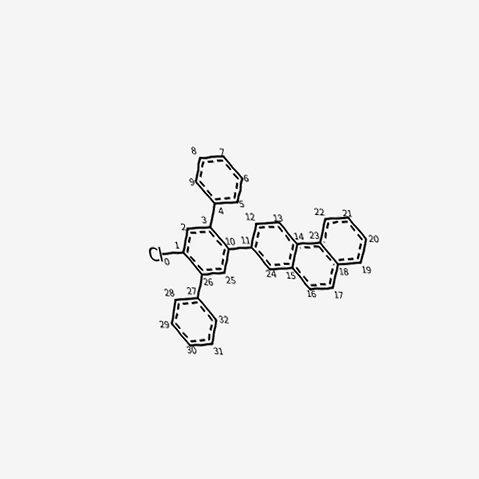 Clc1cc(-c2ccccc2)c(-c2ccc3c(ccc4ccccc43)c2)cc1-c1ccccc1